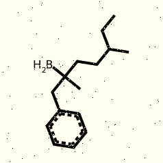 BC(C)(CCC(C)CC)Cc1ccccc1